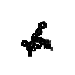 Nc1c(Br)cc(C[C@@H](NC(=O)N2CCC3(CC2)C(=O)NCN3c2ccccc2)C(=O)N2CCN(c3cnccn3)CC2)cc1Br